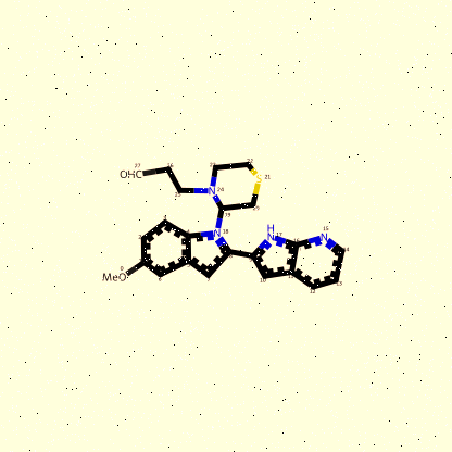 COc1ccc2c(c1)cc(-c1cc3cccnc3[nH]1)n2C1CSCCN1CCC=O